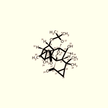 CC1(C)O[C@H]2[C@H]3CC[C@H]4[C@@]56CO[C@](O1)([C@@H](O)[C@@H]5C(C)(C)C1CC1C6=O)[C@@]24C(=O)C3(C)C